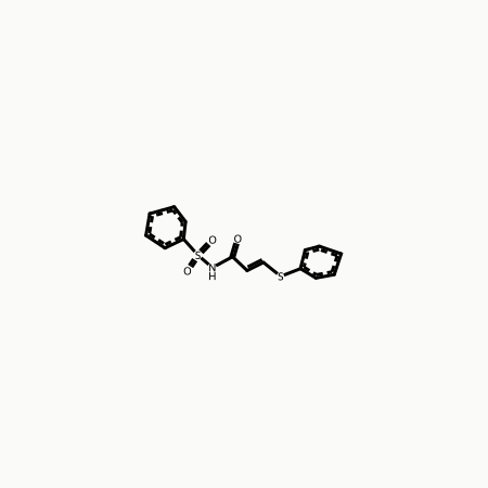 O=C(C=CSc1ccccc1)NS(=O)(=O)c1ccccc1